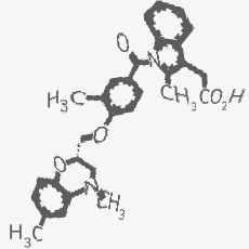 Cc1ccc2c(c1)N(C)C[C@@H](COc1ccc(C(=O)n3c(C)c(CC(=O)O)c4ccccc43)cc1C)O2